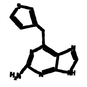 Nc1nc(Cc2ccsc2)c2nc[nH]c2n1